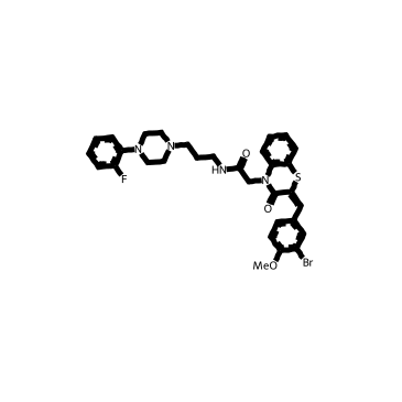 COc1ccc(/C=C2/Sc3ccccc3N(CC(=O)NCCCN3CCN(c4ccccc4F)CC3)C2=O)cc1Br